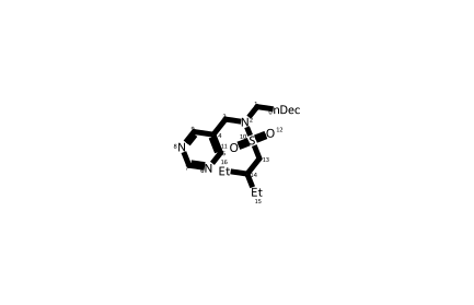 CCCCCCCCCCCN(Cc1cncnc1)S(=O)(=O)CC(CC)CC